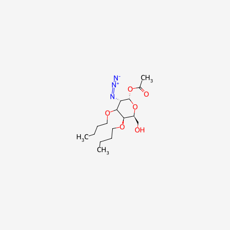 CCCCOC1[C@H](N=[N+]=[N-])[C@H](OC(C)=O)O[C@@H](CO)[C@H]1OCCCC